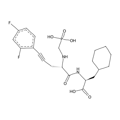 O=C(O)[C@H](CC1CCCCC1)NC(=O)[C@H](CC#Cc1ccc(F)cc1F)NCP(=O)(O)O